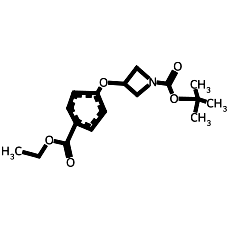 CCOC(=O)c1ccc(OC2CN(C(=O)OC(C)(C)C)C2)cc1